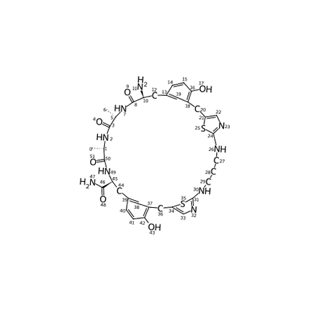 C[C@@H]1NC(=O)[C@H](C)NC(=O)[C@@H](N)Cc2ccc(O)c(c2)Cc2cnc(s2)NCCCNc2ncc(s2)Cc2cc(ccc2O)C[C@@H](C(N)=O)NC1=O